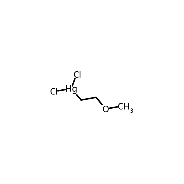 COC[CH2][Hg]([Cl])[Cl]